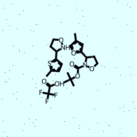 Cc1ccc(C2CCON2)s1.Cc1coc(C2CCON2C(=O)OC(C)(C)C)c1.O=C(O)C(F)(F)F